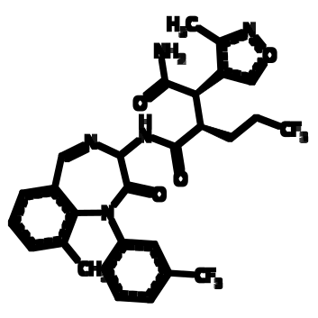 Cc1cccc2c1N(c1cccc(C(F)(F)F)c1)C(=O)C(NC(=O)[C@H](CCC(F)(F)F)[C@@H](C(N)=O)c1conc1C)N=C2